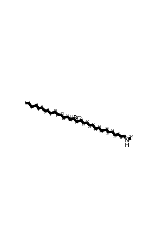 Br.CCCCCCCCCCCCCCCCCCCCCCCCCCCCCCCCNC